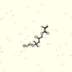 C=C(C)C(=O)OCC([O])CC(C)(C)OOC(C)(C)C